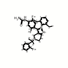 CCc1cccc(CC)c1-n1nc2c(c1-c1cc(F)c(NC(N)=O)cc1F)CN(C(C)(C)c1ccccc1F)CC2